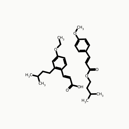 CCOc1ccc(C=CC(=O)O)c(CCC(C)C)c1.COc1ccc(C=CC(=O)OCCC(C)C)cc1